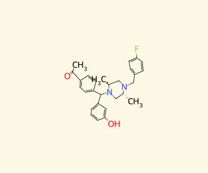 CC(=O)c1ccc(C(c2cccc(O)c2)N2C[C@@H](C)N(Cc3ccc(F)cc3)C[C@@H]2C)cc1